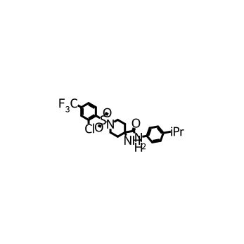 CC(C)c1ccc(NC(=O)C2(N)CCN(S(=O)(=O)c3ccc(C(F)(F)F)cc3Cl)CC2)cc1